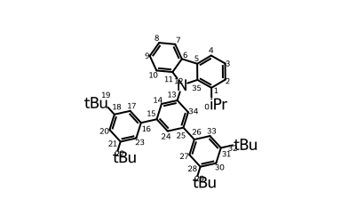 CC(C)c1cccc2c3ccccc3n(-c3cc(-c4cc(C(C)(C)C)cc(C(C)(C)C)c4)cc(-c4cc(C(C)(C)C)cc(C(C)(C)C)c4)c3)c12